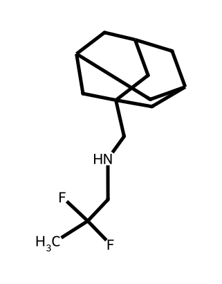 CC(F)(F)CNCC12CC3CC(CC(C3)C1)C2